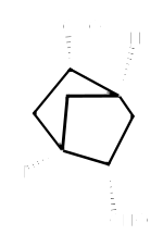 O=C[C@H]1C[C@H]2C[C@@H]1C[C@@H]2C=O